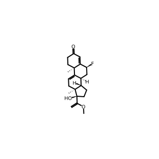 C=C(OC)[C@@]1(O)CC[C@H]2[C@@H]3C[C@H](F)C4=CC(=O)CC[C@]4(C)C3=CC[C@@]21C